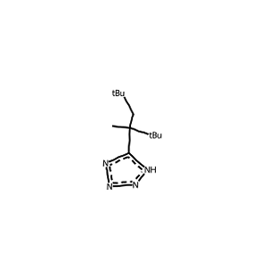 CC(C)(C)CC(C)(c1nnn[nH]1)C(C)(C)C